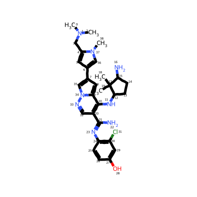 CN(C)Cc1cc(-c2cc3c(NC4CCC(N)C4(C)C)c(/C(N)=N/c4ccc(O)cc4Cl)cnn3c2)cn1C